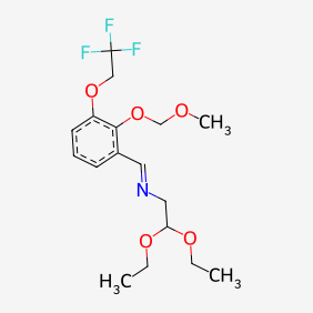 CCOC(CN=Cc1cccc(OCC(F)(F)F)c1OCOC)OCC